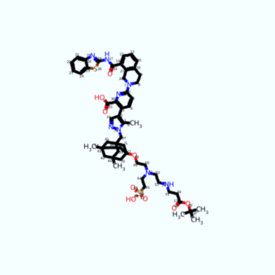 Cc1c(-c2ccc(N3CCc4cccc(C(=O)Nc5nc6ccccc6s5)c4C3)nc2C(=O)O)cnn1CC12CC3(C)CC(C)(C1)CC(OCCN(CCNCCC(=O)OC(C)(C)C)CCS(=O)(=O)O)(C3)C2